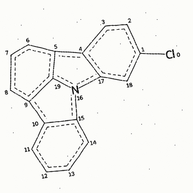 Clc1ccc2c3cccc4c5ccccc5n(c2c1)c43